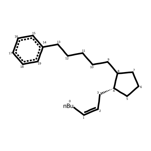 CCCC/C=C\C[C@H]1CCCC1CCCCCc1ccccc1